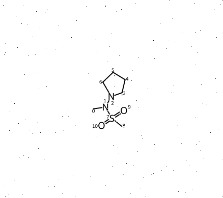 CN(N1[CH]CCC1)S(C)(=O)=O